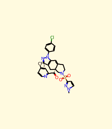 Cn1ccc(S(=O)(=O)N2CCC3=Cc4c(cnn4-c4ccc(Cl)cc4)C[C@]3(C(=O)c3cc(C(F)(F)F)ccn3)C2)n1